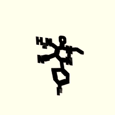 CCn1nc(-c2ccc(F)cc2)c(C#N)c(N)c1=O